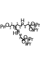 CC(C)OCCN(CCPCCC(OC(C)C)OC(C)C)CCPCCC(OC(C)C)OC(C)C